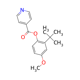 COc1ccc(OC(=O)c2ccncc2)c(C(C)(C)C)c1